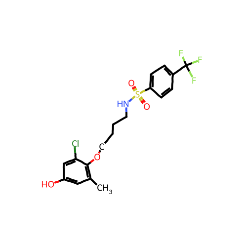 Cc1cc(O)cc(Cl)c1OCCCCNS(=O)(=O)c1ccc(C(F)(F)F)cc1